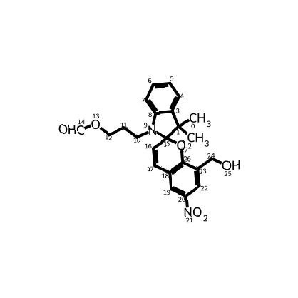 CC1(C)c2ccccc2N(CCCOC=O)C12C=Cc1cc([N+](=O)[O-])cc(CO)c1O2